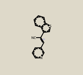 N#C/C(=C\c1cccnc1)c1csc2ccccc12